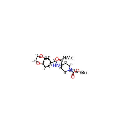 CNC(=O)C1(NCc2ccc3c(c2)OCCO3)CCN(C(=O)OC(C)(C)C)CC1